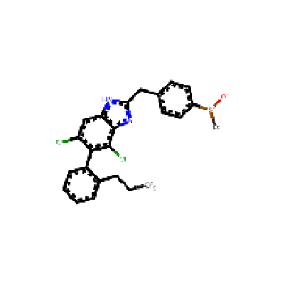 CC[S+]([O-])c1ccc(Cc2nc3c(Cl)c(-c4ccccc4CCC(F)(F)F)c(Cl)cc3[nH]2)cc1